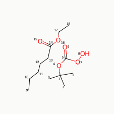 CC(C)(C)OC(=O)OO.CCCCCC(=O)OCC